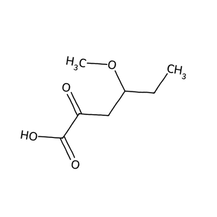 CCC(CC(=O)C(=O)O)OC